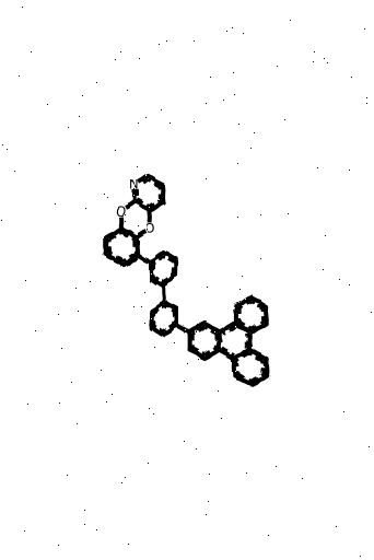 c1cc(-c2cccc(-c3cccc4c3Oc3cccnc3O4)c2)cc(-c2ccc3c4ccccc4c4ccccc4c3c2)c1